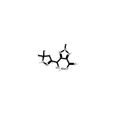 COC(=O)c1nn(C)nc1C(S)C1=NOC(C)(C)C1